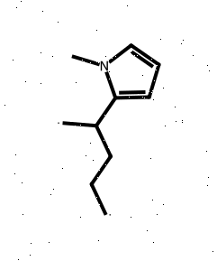 [CH2]CCC([CH2])c1cccn1C